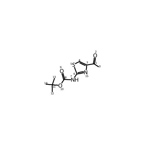 CC(=O)c1csc(NC(=O)OC(C)(C)C)n1